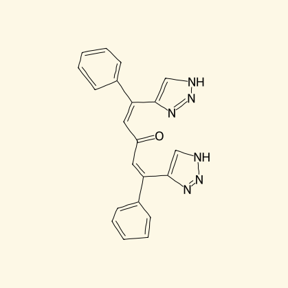 O=C(C=C(c1ccccc1)c1c[nH]nn1)C=C(c1ccccc1)c1c[nH]nn1